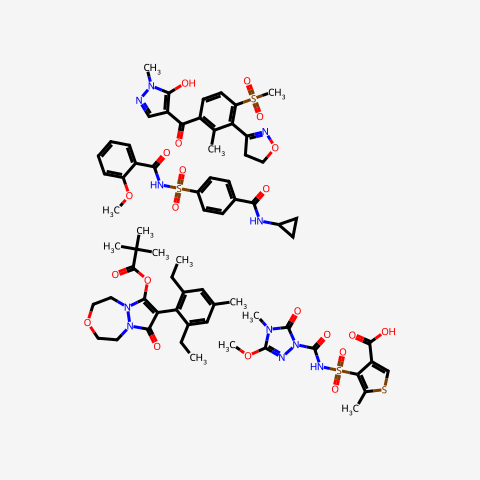 CCc1cc(C)cc(CC)c1-c1c(OC(=O)C(C)(C)C)n2n(c1=O)CCOCC2.COc1ccccc1C(=O)NS(=O)(=O)c1ccc(C(=O)NC2CC2)cc1.COc1nn(C(=O)NS(=O)(=O)c2c(C(=O)O)csc2C)c(=O)n1C.Cc1c(C(=O)c2cnn(C)c2O)ccc(S(C)(=O)=O)c1C1=NOCC1